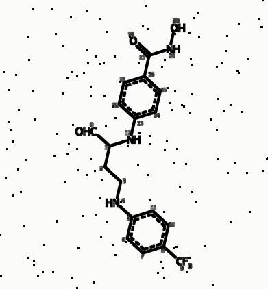 O=CC(CCNc1ccc(C(F)(F)F)cc1)Nc1ccc(C(=O)NO)cc1